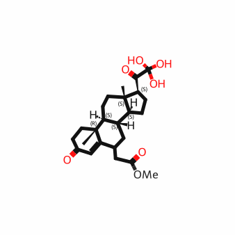 COC(=O)CC1C[C@H]2[C@@H]3CC[C@H](C(=O)C(O)(O)O)[C@@]3(C)CC[C@@H]2[C@@]2(C)CCC(=O)C=C12